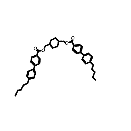 CCCCCc1ccc(-c2ccc(C(=O)OCC3CCC(COC(=O)c4ccc(-c5ccc(CCCCC)cc5)cc4)CC3)cc2)cc1